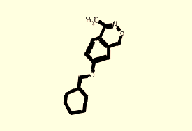 CC1=NOCc2cc(OCC3CCCCC3)ccc21